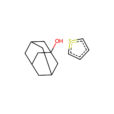 OC12CC3CC(CC(C3)C1)C2.c1ccsc1